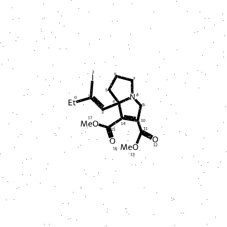 CCC(I)=CC12CCCN1CC(C(=O)OC)=C2C(=O)OC